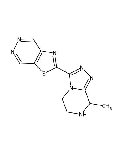 CC1NCCn2c(-c3nc4cnncc4s3)nnc21